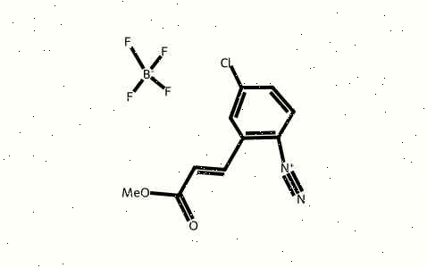 COC(=O)C=Cc1cc(Cl)ccc1[N+]#N.F[B-](F)(F)F